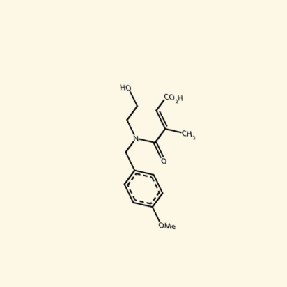 COc1ccc(CN(CCO)C(=O)C(C)=CC(=O)O)cc1